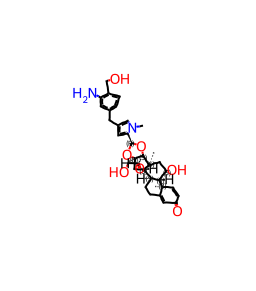 Cn1cc(Cc2ccc(CO)c(N)c2)cc1[C@@H]1O[C@@H]2C[C@H]3[C@@H]4CCC5=CC(=O)C=C[C@]5(C)[C@H]4[C@@H](O)C[C@]3(C)[C@]2(C(=O)CO)O1